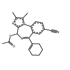 CC(=O)OC1N=C(C2=CCCCC2)c2cc(C#N)ccc2-n2c1nc(C)c2C